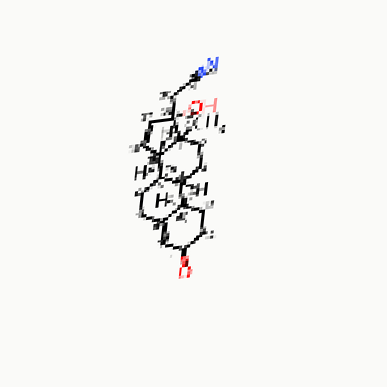 CC12CC[C@H]3[C@@H](CCC4=CC(=O)CC[C@@H]43)[C@@H]1C=C[C@@]2(O)CC#N